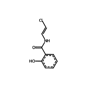 O=C(NC=CCl)c1ccccc1O